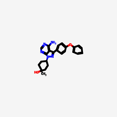 C[C@]1(O)CC[C@@H](n2nc(-c3ccc(Oc4ccccc4)cc3)c3c(N)ncnc32)CC1